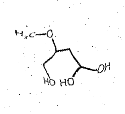 COC(CO)CC(O)O